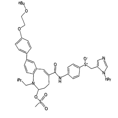 CCCCOCCOc1ccc(-c2ccc3c(c2)C=C(C(=O)Nc2ccc([S+]([O-])Cc4cncn4CCC)cc2)CCC(OS(C)(=O)=O)N3CC(C)C)cc1